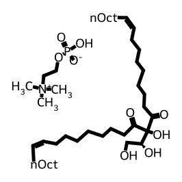 CCCCCCCC/C=C\CCCCCCCC(=O)C(O)(C(=O)CCCCCCC/C=C\CCCCCCCC)[C@@H](O)CO.C[N+](C)(C)CCOP(=O)([O-])O